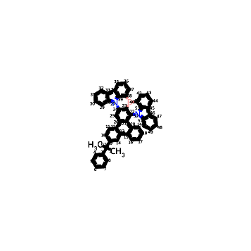 CC(C)(c1ccccc1)c1ccc2c(c1)c1ccccc1c1c3c4c(cc21)-n1c2ccccc2c2cccc(c21)B4c1cccc2c4ccccc4n-3c12